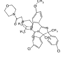 COc1ccc(C2=NC(C)(c3ccc(Cl)cc3)C(C)(c3ccc(Cl)cc3)N2C(=O)N2CCN(CC(=O)N3CCOCC3)CC2)c(OC(C)C)c1